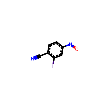 N#Cc1ccc(N=O)cc1I